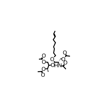 C/C=C/CCCCCCOC(OC(COC(C)=O)[C@@H](C)OC(C)=O)[C@H](COC(C)=O)NC(C)=O